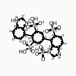 O=S(=O)(O)c1cc(-c2c(S(=O)(=O)O)ccc3ncn(S(=O)(=O)O)c23)cc(S(=O)(=O)O)c1-c1cccc2[nH]cnc12